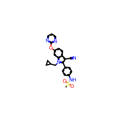 CS(=O)(=O)Nc1ccc(-c2c(C#N)c3ccc(Oc4ncccn4)cc3n2CC2CC2)cc1